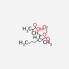 C=C(C)C(=O)O.CCCCCCC(C)(C)C(=O)OCC1CO1